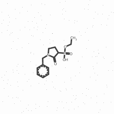 CCOP(=O)(O)C1CCN(Cc2ccccc2)C1=O